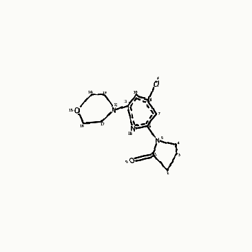 O=C1CCCN1c1cc(Cl)cc(N2CCOCC2)n1